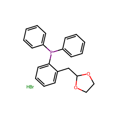 Br.c1ccc(P(c2ccccc2)c2ccccc2CC2OCCO2)cc1